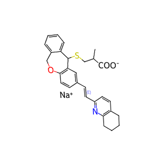 CC(CSC1c2ccccc2COc2ccc(/C=C/c3ccc4c(n3)CCCC4)cc21)C(=O)[O-].[Na+]